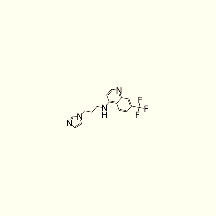 FC(F)(F)c1ccc2c(NCCCn3ccnc3)ccnc2c1